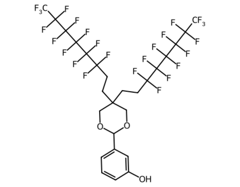 Oc1cccc(C2OCC(CCC(F)(F)C(F)(F)C(F)(F)C(F)(F)C(F)(F)C(F)(F)F)(CCC(F)(F)C(F)(F)C(F)(F)C(F)(F)C(F)(F)C(F)(F)F)CO2)c1